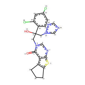 O=c1c2c3c(sc2ncn1CC(O)(Cn1cncn1)c1ccc(Cl)cc1Cl)CCC3